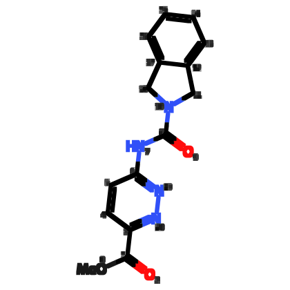 COC(=O)c1ccc(NC(=O)N2Cc3ccccc3C2)nn1